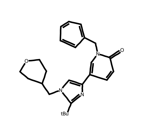 CC(C)(C)c1nc(-c2ccc(=O)n(Cc3ccccc3)c2)cn1CC1CCOCC1